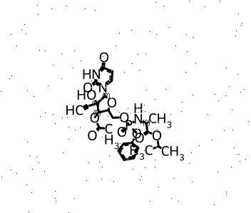 C#C[C@@]1(O)[C@H](OC(C)=O)C(COP(=O)(N[C@@H](C)C(=O)OC(C)C)Oc2ccccc2)O[C@H]1n1ccc(=O)[nH]c1=O